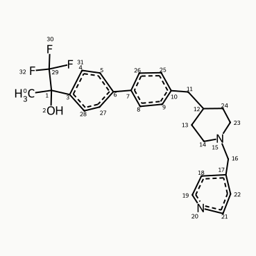 CC(O)(c1ccc(-c2ccc(CC3CCN(Cc4ccncc4)CC3)cc2)cc1)C(F)(F)F